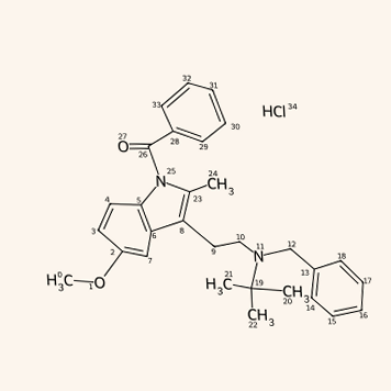 COc1ccc2c(c1)c(CCN(Cc1ccccc1)C(C)(C)C)c(C)n2C(=O)c1ccccc1.Cl